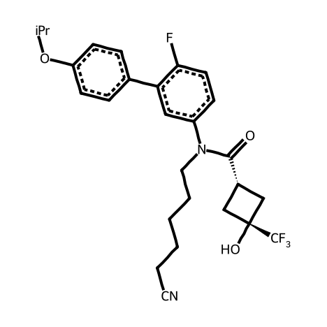 CC(C)Oc1ccc(-c2cc(N(CCCCCC#N)C(=O)[C@H]3C[C@](O)(C(F)(F)F)C3)ccc2F)cc1